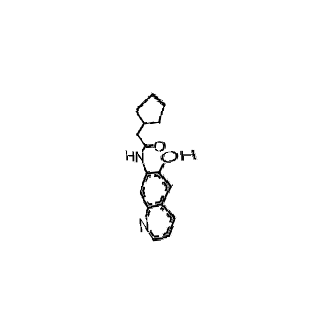 O=C(CC1CCCC1)Nc1cc2ncccc2cc1O